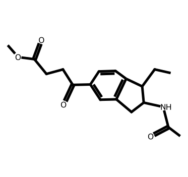 CCC1c2ccc(C(=O)CCC(=O)OC)cc2CC1NC(C)=O